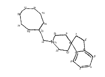 c1ccc2c(c1)CCC21CCN(CC2CCCCCCC2)CC1